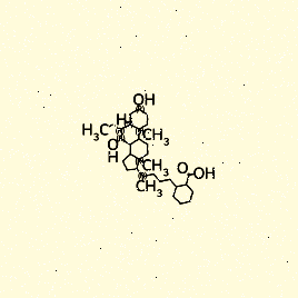 CC[C@H]1[C@@H](O)C2C3CCC([C@H](C)CCCC4CCCCC4C(=O)O)[C@@]3(C)CCC2[C@@]2(C)CC[C@@H](O)C[C@@H]12